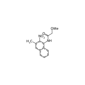 COCC(=O)Nc1c([N+](=O)[O-])c(C)cc2ccccc12